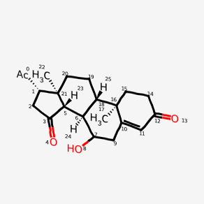 CC(=O)[C@H]1CC(=O)[C@H]2[C@@H]3C(O)CC4=CC(=O)CC[C@]4(C)[C@H]3CC[C@]12C